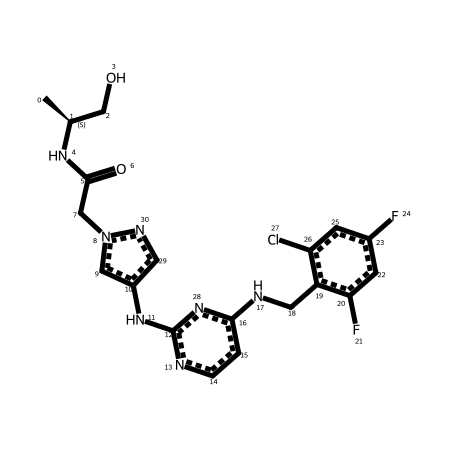 C[C@@H](CO)NC(=O)Cn1cc(Nc2nccc(NCc3c(F)cc(F)cc3Cl)n2)cn1